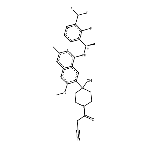 COc1nc2nc(C)nc(N[C@H](C)c3cccc(C(F)F)c3F)c2cc1C1(O)CCN(C(=O)CC#N)CC1